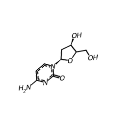 Nc1ccn([C@H]2C[C@@H](O)C(CO)O2)c(=O)n1